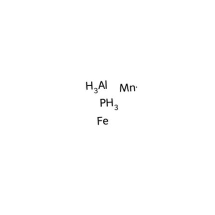 P.[AlH3].[Fe].[Mn]